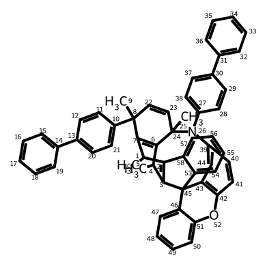 CC1C2=C3C(C)C4=C1C(C)(c1ccc(-c5ccccc5)cc1)C=CC4(C)N(c1ccc(-c4ccccc4)cc1)c1ccc4c(c1)C3(c1ccccc1O4)c1ccccc12